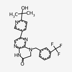 CC(C)(O)c1ccc(-c2cnc3c(n2)N(Cc2cccc(C(F)(F)F)c2)CC(=O)N3)cn1